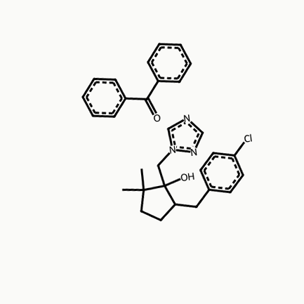 CC1(C)CCC(Cc2ccc(Cl)cc2)C1(O)Cn1cncn1.O=C(c1ccccc1)c1ccccc1